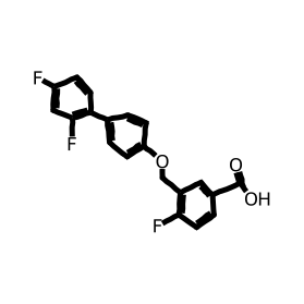 O=C(O)c1ccc(F)c(COc2ccc(-c3ccc(F)cc3F)cc2)c1